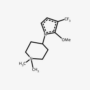 COc1c(C(F)(F)F)ccn1C1CC[Si](C)(C)CC1